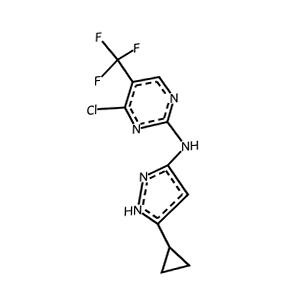 FC(F)(F)c1cnc(Nc2cc(C3CC3)[nH]n2)nc1Cl